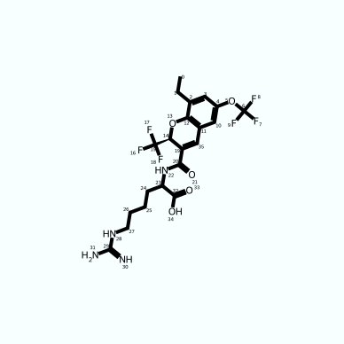 CCc1cc(OC(F)(F)F)cc2c1O[C@H](C(F)(F)F)C(C(=O)NC(CCCCNC(=N)N)C(=O)O)=C2